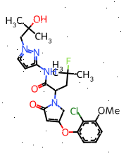 COc1cccc(OC2=CC(=O)N(C(CC(C)(C)F)C(=O)Nc3ccn(CC(C)(C)O)n3)C2)c1Cl